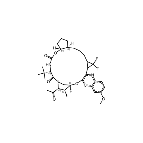 COc1ccc2nc3c(nc2c1)O[C@H]1CN(C(=O)[C@H](C(C)(C)C)NC(=O)O[C@@H]2CCC[C@H]2CCCC2C3C2(F)F)[C@H](C(C)=O)[C@@H]1C